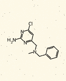 CN(Cc1ccccc1)Cc1cc(Cl)nc(N)n1